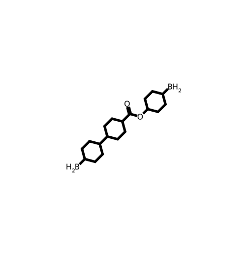 BC1CCC(OC(=O)C2CCC(C3CCC(B)CC3)CC2)CC1